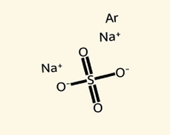 O=S(=O)([O-])[O-].[Ar].[Na+].[Na+]